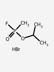 Br.CC(C)OP(C)(=O)F